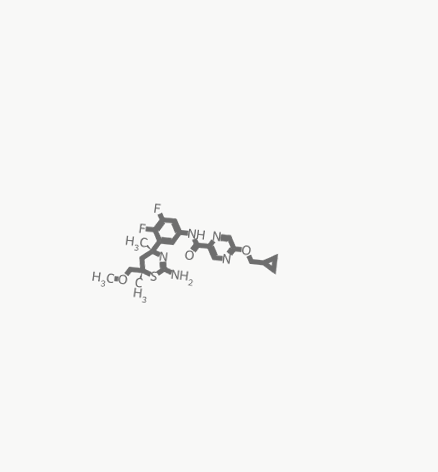 COC[C@@]1(C)C[C@@](C)(c2cc(NC(=O)c3cnc(OCC4CC4)cn3)cc(F)c2F)N=C(N)S1